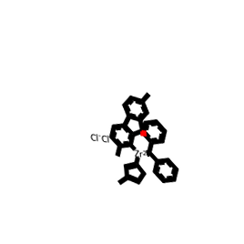 CC1=CC[C]([Zr+2](=[C](c2ccccc2)c2ccccc2)[c]2c(C)ccc3c2Cc2cc(C)ccc2-3)=C1.[Cl-].[Cl-]